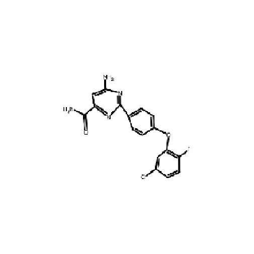 NC(=O)c1cc(N)nc(-c2ccc(Oc3cc(Cl)ccc3F)cc2)n1